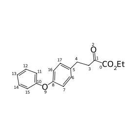 CCOC(=O)C(=O)CCc1ccc(Oc2ccccc2)cc1